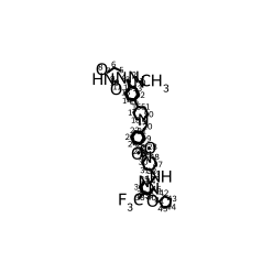 Cn1nc(N2CCC(=O)NC2=O)c2ccc(C3CCN(Cc4cccc(S(=O)(=O)N5CCC(Nc6ncc(C(F)(F)F)c(OC7CCCC7)n6)CC5)c4)CC3)cc21